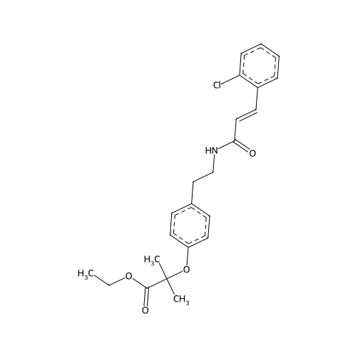 CCOC(=O)C(C)(C)Oc1ccc(CCNC(=O)/C=C/c2ccccc2Cl)cc1